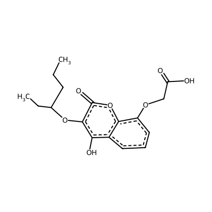 CCCC(CC)Oc1c(O)c2cccc(OCC(=O)O)c2oc1=O